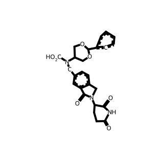 O=C1CCC(N2Cc3ccc(CN(C(=O)O)C4COC(c5ccccc5)OC4)cc3C2=O)C(=O)N1